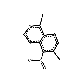 Cc1ccc2c(C)nccc2c1[N+](=O)[O-]